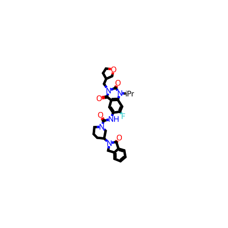 CC(C)n1c(=O)n(CC2CCOC2)c(=O)c2cc(NC(=O)N3CCCC(N4Cc5ccccc5C4=O)C3)c(F)cc21